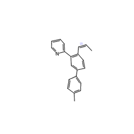 C/C=C\c1ccc(-c2ccc(C)cc2)cc1-c1ccccn1